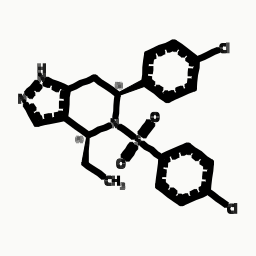 CC[C@H]1c2cn[nH]c2C[C@@H](c2ccc(Cl)cc2)N1S(=O)(=O)c1ccc(Cl)cc1